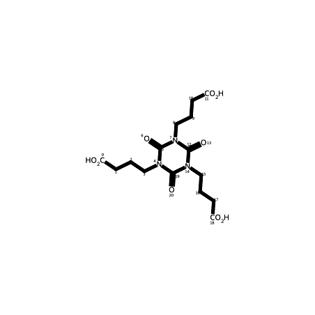 O=C(O)CCCn1c(=O)n(CCCC(=O)O)c(=O)n(CCCC(=O)O)c1=O